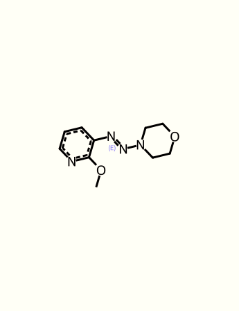 COc1ncccc1/N=N/N1CCOCC1